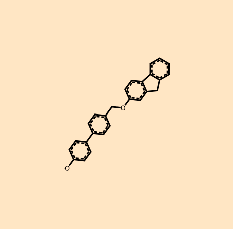 [O]c1ccc(-c2ccc(COc3ccc4c(c3)Cc3ccccc3-4)cc2)cc1